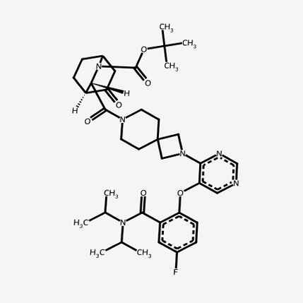 CC(C)N(C(=O)c1cc(F)ccc1Oc1cncnc1N1CC2(CCN(C(=O)[C@@H]3[C@@H]4CCC(CC4=O)N3C(=O)OC(C)(C)C)CC2)C1)C(C)C